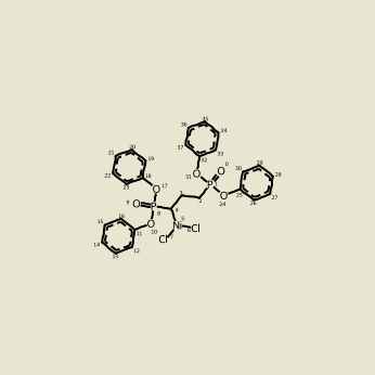 O=P(CC[CH]([Ni]([Cl])[Cl])P(=O)(Oc1ccccc1)Oc1ccccc1)(Oc1ccccc1)Oc1ccccc1